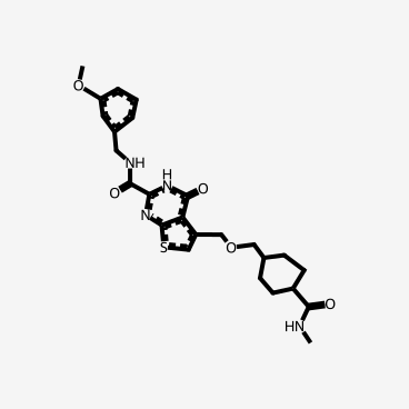 CNC(=O)C1CCC(COCc2csc3nc(C(=O)NCc4cccc(OC)c4)[nH]c(=O)c23)CC1